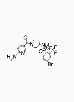 Nc1ccc(C(=O)N2CCC(NS(=O)(=O)c3ccc(Br)cc3C(F)(F)F)CC2)cn1